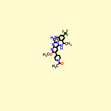 COc1nc2nc(C)nc(NC(C)c3cc(N)cc(C(F)(F)F)c3)c2cc1C1=CCN(C(C)=O)CC1